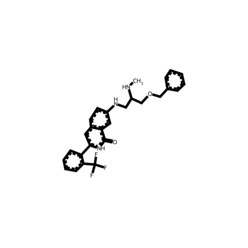 CNC(CNc1ccc2cc(-c3ccccc3C(F)(F)F)[nH]c(=O)c2c1)COCc1ccccc1